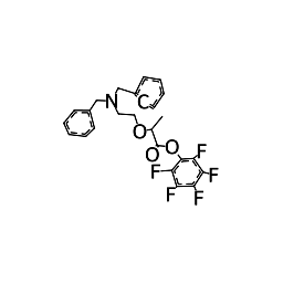 CC(OCCN(Cc1ccccc1)Cc1ccccc1)C(=O)Oc1c(F)c(F)c(F)c(F)c1F